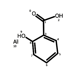 O=C(O)c1ccccc1O.[Al]